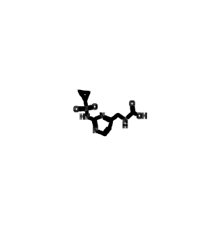 O=C(O)NCc1ccnc(NS(=O)(=O)C2CC2)n1